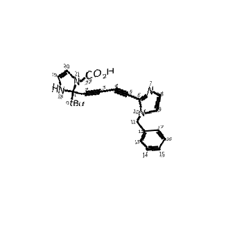 CC(C)(C)C1(C#CC#Cc2nccn2Cc2ccccc2)NC=CN1C(=O)O